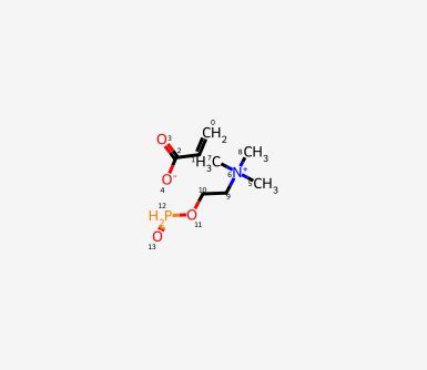 C=CC(=O)[O-].C[N+](C)(C)CCO[PH2]=O